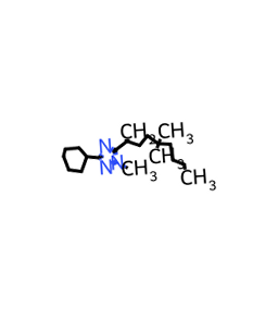 C=C(CCC(C)(C)CCCC)c1nc(C2CCCCC2)nn1C